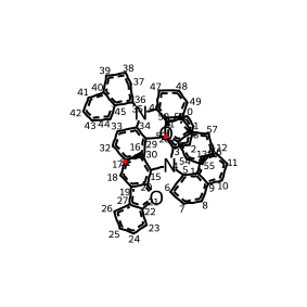 c1ccc(N(c2cccc3ccccc23)c2cccc3c2oc2ccccc23)c(-c2ccccc2N(c2cccc3ccccc23)c2cccc3c2oc2ccccc23)c1